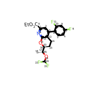 CCOC(=O)c1cc(-c2ccc(F)cc2F)c2c(n1)O[C@H]([C@@H](C)OC(F)F)CC2